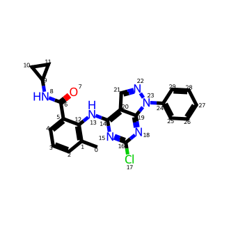 Cc1cccc(C(=O)NC2CC2)c1Nc1nc(Cl)nc2c1cnn2-c1ccccc1